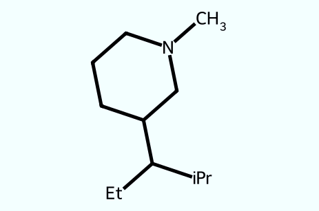 CCC(C(C)C)C1CCCN(C)C1